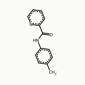 [CH2]c1ccc(NC(=O)c2ccccn2)cc1